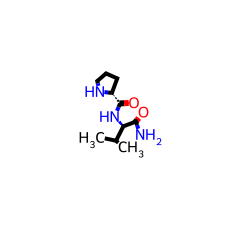 CC(C)[C@@H](NC(=O)[C@H]1CCCN1)C(N)=O